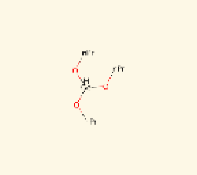 CCC[O][GeH]([O]CCC)[O]CCC